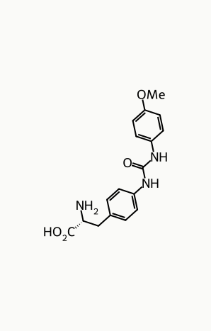 COc1ccc(NC(=O)Nc2ccc(C[C@@H](N)C(=O)O)cc2)cc1